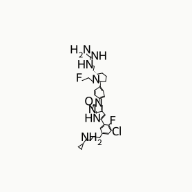 N=C(CN)NCC[C@@H]1CCC[C@@H](c2ccc(-n3cc4cc(-c5cc(CCC[C@@H](N)C6CC6)cc(Cl)c5F)[nH]c4nc3=O)cc2)N1CCCF